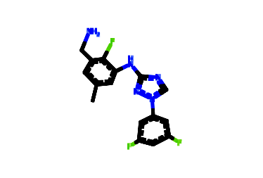 Cc1cc(CN)c(F)c(Nc2ncn(-c3cc(F)cc(F)c3)n2)c1